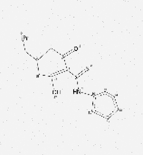 CC(C)CC1CC(=O)C(C(=S)Nc2ccccc2)=C(O)C1